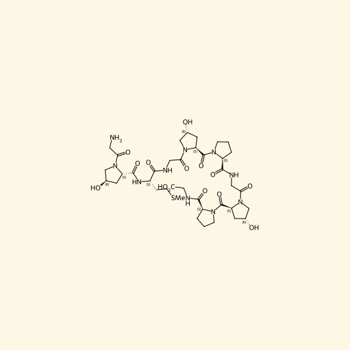 CSCC[C@H](NC(=O)[C@@H]1C[C@@H](O)CN1C(=O)CN)C(=O)NCC(=O)N1C[C@H](O)C[C@H]1C(=O)N1CCC[C@H]1C(=O)NCC(=O)N1C[C@H](O)C[C@H]1C(=O)N1CCC[C@H]1C(=O)NCC(=O)O